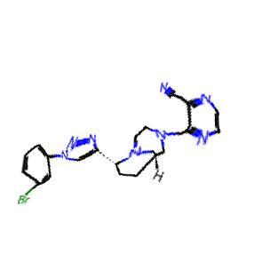 N#Cc1nccnc1N1CCN2[C@@H](CC[C@@H]2c2cn(-c3cccc(Br)c3)nn2)C1